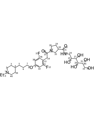 CCN1CCC(CCCOc2cc(F)c(CC(=O)N3CCC(C(=O)NCC(O)C(O)C(O)[C@H](O)CO)C3)c(F)c2)CC1